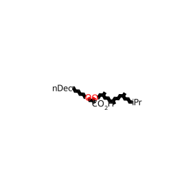 CCCCCCCCCCCCCCCCOCC(OCCC(C)CCCC(C)CCCC(C)CCCC(C)C)C(=O)O